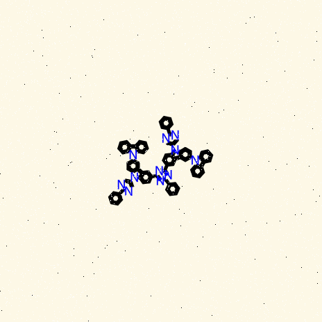 c1ccc(-c2ncc(-n3c4ccc(-c5nc(-c6ccccc6)nc(-c6ccc7c(c6)c6cc(-n8c9ccccc9c9ccccc98)ccc6n7-c6cnc(-c7ccccc7)nc6)n5)cc4c4cc(-n5c6ccccc6c6ccccc65)ccc43)cn2)cc1